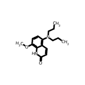 CCCN(CCC)c1ccc(OC)c2[nH]c(=O)ccc12